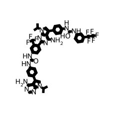 CC(C)n1cc(-c2ccc(NC(=O)Nc3ccc(-c4nc(N)c5c(-c6ccc(NC(O)Nc7cccc(C(F)(F)C(F)(F)F)c7)cc6)cn(C(C)C)c5n4)c(C(F)(F)F)c3)cc2)c2c(N)ncnc21